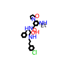 CCNc1cc(C(=O)N[C@@H](Cc2ccccc2)[C@H](O)CNCCCc2ccc(Cl)cc2)cc(N2CCCC2=O)c1